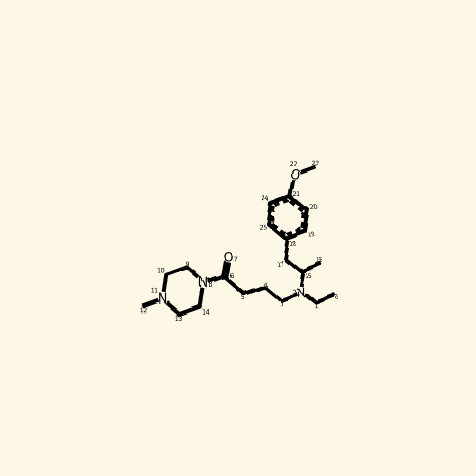 CCN(CCCC(=O)N1CCN(C)CC1)C(C)Cc1ccc(OC)cc1